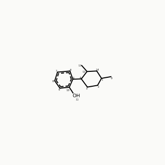 CC1CCC(c2ccccc2O)C(C)C1